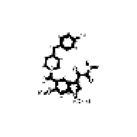 CCOC(=O)n1cc(C(=O)C(=O)N(C)C)c2cc(C(=O)N3CCC(Cc4ccc(F)cc4)CC3)c(OC)cc21